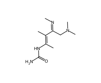 C/N=C(CN(C)C)\C(C)=C(/C)NC(N)=O